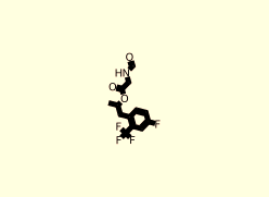 CC(Cc1ccc(F)cc1C(F)(F)F)OC(=O)CNC=O